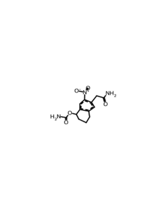 NC(=O)Cc1cc2c(cc1[N+](=O)[O-])C(OC(N)=O)CCC2